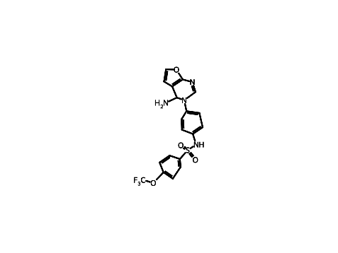 NC1c2ccoc2N=CN1c1ccc(NS(=O)(=O)c2ccc(OC(F)(F)F)cc2)cc1